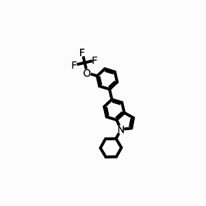 FC(F)(F)Oc1cccc(-c2ccc3c(ccn3C3CCCCC3)c2)c1